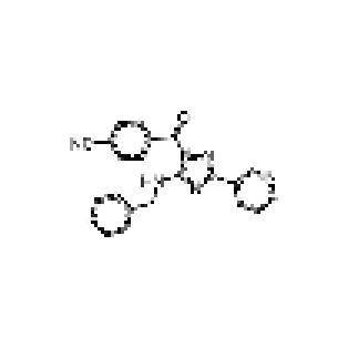 N#Cc1ccc(C(=O)n2nc(-c3cccnc3)nc2NCc2ccccc2)cc1